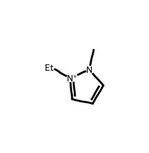 CC[n+]1cccn1C